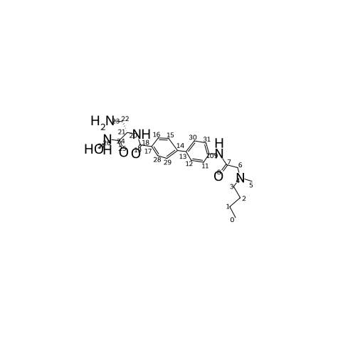 CCCCN(C)CC(=O)Nc1ccc(-c2ccc(C(=O)N[C@@H](CN)C(=O)NO)cc2)cc1